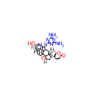 C[C@]12CC[C@H](O)C[C@H]1CC[C@@H]1[C@@H]2CC[C@]2(C)[C@@H](c3ccc(=O)oc3)C[C@H]3O[C@]132.Nc1nc(N)nc(N)n1